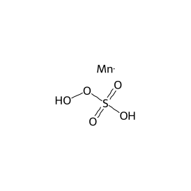 O=S(=O)(O)OO.[Mn]